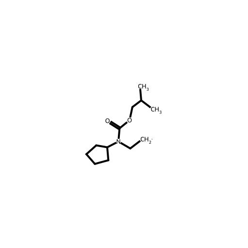 [CH2]CN(C(=O)OCC(C)C)C1CCCC1